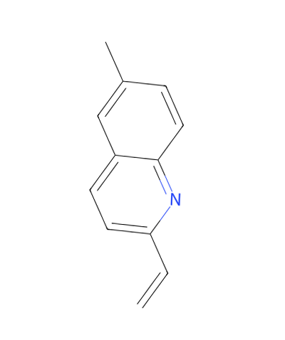 C=Cc1ccc2cc(C)ccc2n1